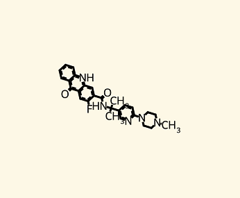 CN1CCN(c2ccc(C(C)(C)NC(=O)c3cc4[nH]c5ccccc5c(=O)c4cc3F)cn2)CC1